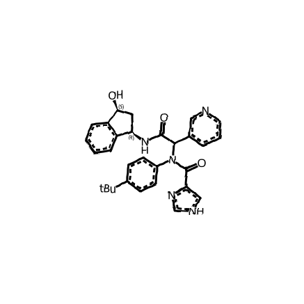 CC(C)(C)c1ccc(N(C(=O)c2c[nH]cn2)C(C(=O)N[C@@H]2C[C@H](O)c3ccccc32)c2cccnc2)cc1